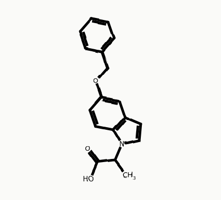 CC(C(=O)O)n1ccc2cc(OCc3ccccc3)ccc21